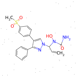 C=CC(N(O)C(N)=O)n1cc(-c2ccc(S(C)(=O)=O)cc2)c(-c2ccccc2)n1